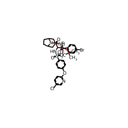 CC(C)(C)OC(=O)NC1CC2CCC(C1)N2C(=O)C(NS(=O)(=O)c1ccc(Oc2ccc(Cl)cn2)cc1)C(F)(F)c1ccc(Br)cc1